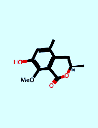 COc1c(O)cc(C)c2c1C(=O)O[C@H](C)C2